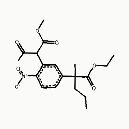 CCCC(C)(C(=O)OCC)c1ccc([N+](=O)[O-])c(C(C(C)=O)C(=O)OC)c1